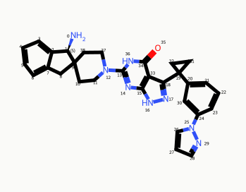 N[C@@H]1c2ccccc2CC12CCN(c1nc3[nH]nc(C4(c5cccc(-n6cccn6)c5)CC4)c3c(=O)[nH]1)CC2